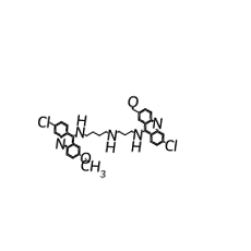 COc1ccc2nc3cc(Cl)ccc3c(NCCCCNCCCNc3c4ccc(Cl)cc4nc4ccc(C=O)cc34)c2c1